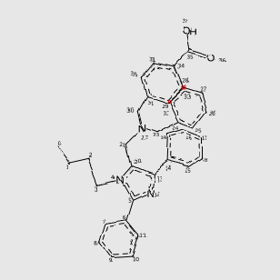 CCCCn1c(-c2ccccc2)nc(-c2ccccc2)c1CN(Cc1ccccc1)Cc1ccc(C(=O)O)cc1